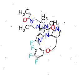 C=CC(=O)N1C[C@H](C)N(c2nc(=O)n3c4nc(c(F)cc24)-c2c(cc(F)c(F)c2F)OCCCc2ccnc(C(C)C)c2-3)C[C@H]1C